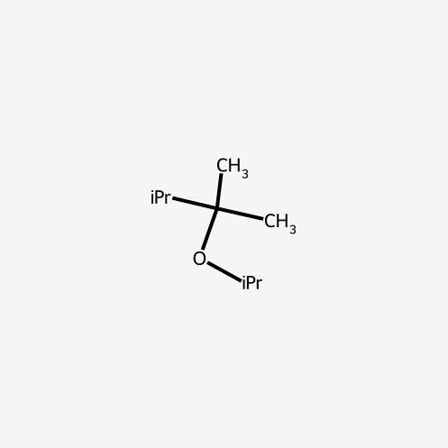 CC(C)OC(C)(C)C(C)C